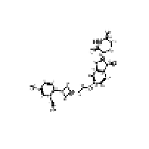 N#Cc1cc(Cl)ccc1C1CN(CCOc2ccc3c(c2)CN([C@@H]2CCC(=O)NC2=O)C3=O)C1